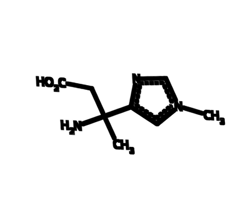 Cn1cnc(C(C)(N)CC(=O)O)c1